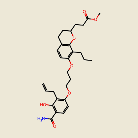 C=CCc1c(OCCCOc2ccc3c(c2CCC)OC(CCC(=O)OC)CC3)ccc(C(N)=O)c1O